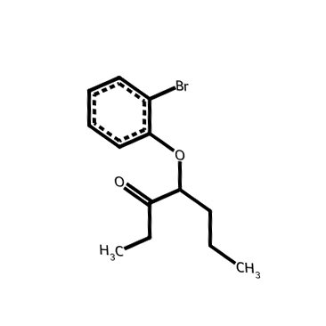 CCCC(Oc1ccccc1Br)C(=O)CC